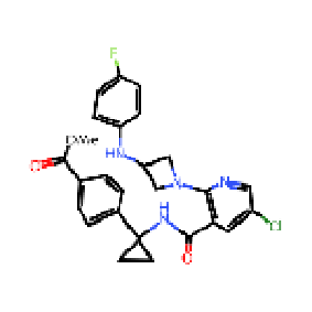 COC(=O)c1ccc(C2(NC(=O)c3cc(Cl)cnc3N3CC(Nc4ccc(F)cc4)C3)CC2)cc1